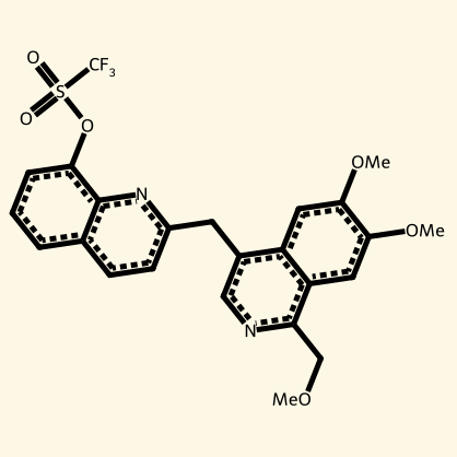 COCc1ncc(Cc2ccc3cccc(OS(=O)(=O)C(F)(F)F)c3n2)c2cc(OC)c(OC)cc12